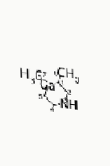 C[CH]1CNC[CH2][Ga]1[CH3]